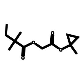 CCC(C)(C)C(=O)OCC(=O)OC1(C)CC1